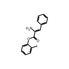 NC(=Cc1ccccc1)C(=O)Oc1ccccc1I